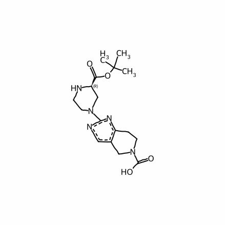 CC(C)(C)OC(=O)[C@H]1CN(c2ncc3c(n2)CCN(C(=O)O)C3)CCN1